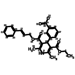 CCOC(=O)C1=C(C)NC(C)=C(C(=O)OCC=Cc2ccccc2)C1c1cccc([N+](=O)[O-])c1